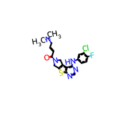 CN(C)CC=CC(=O)N1Cc2sc3ncnc(Nc4ccc(F)c(Cl)c4)c3c2C1